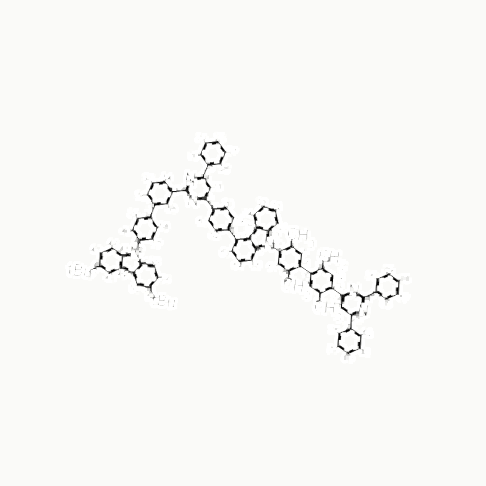 Cc1cc(-c2cc(C)c(-n3c4ccccc4c4c(-c5ccc(-c6cc(-c7ccccc7)nc(-c7cccc(-c8ccc(-n9c%10ccc(C(C)(C)C)cc%10c%10cc(C(C)(C)C)ccc%109)cc8)c7)n6)cc5)cccc43)cc2C)c(C)cc1-c1cc(-c2ccccc2)nc(-c2ccccc2)n1